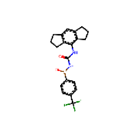 O=C(Nc1c2c(cc3c1CCC3)CCC2)N[S+]([O-])c1ccc(C(F)(F)F)cc1